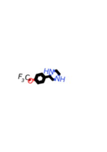 FC(F)(F)Oc1ccc(C2CNCCN2)cc1